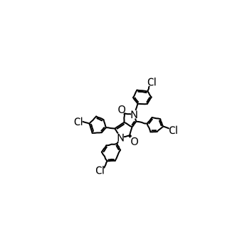 O=C1C2=C(c3ccc(Cl)cc3)N(c3ccc(Cl)cc3)C(=O)C2=C(c2ccc(Cl)cc2)N1c1ccc(Cl)cc1